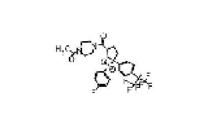 CC(=O)N1CCN(C(=O)[C@H]2CC[C@](c3ccc(C(F)(C(F)(F)F)C(F)(F)F)cc3)(S(=O)(=O)c3ccc(F)cc3)C2)CC1